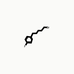 Fc1ccc(CCCCCBr)cc1